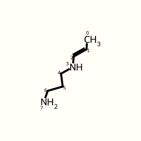 CC=CNCCCN